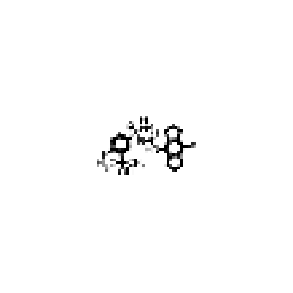 CC(C)(O)c1cc([S@](N)(=O)=NC(=O)Nc2c3c(c(F)c4c2CCC4)CCC3)ccc1F